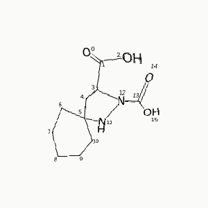 O=C(O)C1CC2(CCCCC2)NN1C(=O)O